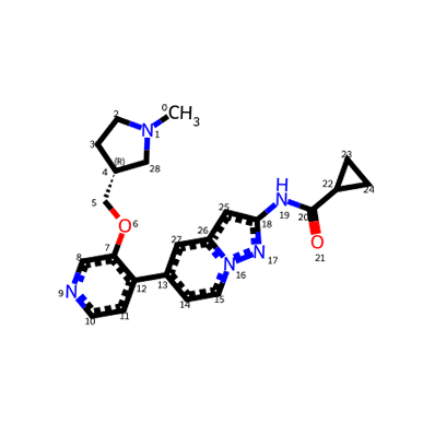 CN1CC[C@@H](COc2cnccc2-c2ccn3nc(NC(=O)C4CC4)cc3c2)C1